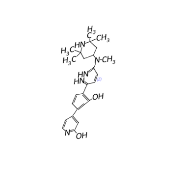 CN(C(=N)/C=C\C(=N)c1ccc(-c2ccnc(O)c2)cc1O)C1CC(C)(C)NC(C)(C)C1